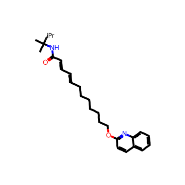 CC(C)C(C)(C)NC(=O)C=CC=CCCCCCCCOc1ccc2ccccc2n1